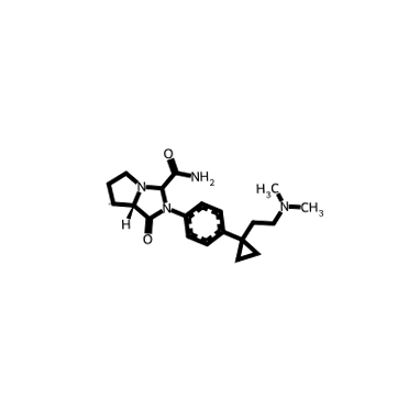 CN(C)CCC1(c2ccc(N3C(=O)[C@@H]4[CH]CCN4C3C(N)=O)cc2)CC1